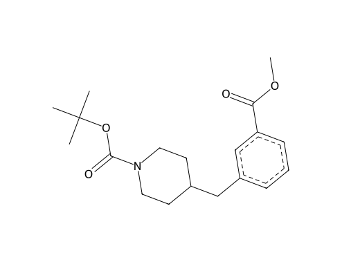 COC(=O)c1cccc(CC2CCN(C(=O)OC(C)(C)C)CC2)c1